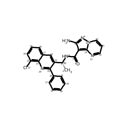 C[C@@H](NC(=O)c1c(N)nn2cccnc12)c1cc2cccc(Cl)c2nc1-c1ccccc1